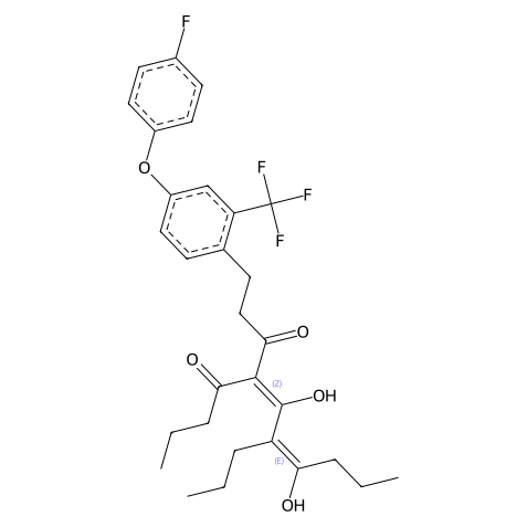 CCCC(=O)/C(C(=O)CCc1ccc(Oc2ccc(F)cc2)cc1C(F)(F)F)=C(O)\C(CCC)=C(\O)CCC